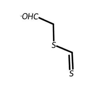 O=[C]CSC=S